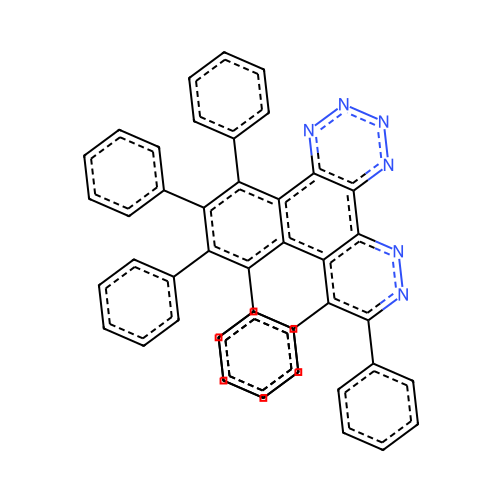 c1ccc(-c2nnc3c4nnnnc4c4c(-c5ccccc5)c(-c5ccccc5)c(-c5ccccc5)c(-c5ccccc5)c4c3c2-c2ccccc2)cc1